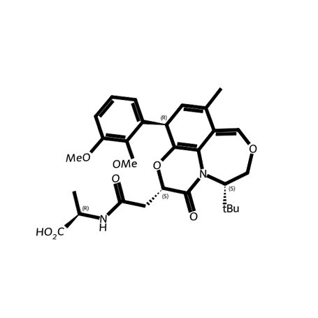 COc1cccc([C@H]2C=C(C)C3=COC[C@H](C(C)(C)C)N4C(=O)[C@H](CC(=O)N[C@H](C)C(=O)O)OC2=C34)c1OC